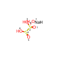 O.O=S(O)S(=O)O.[NaH]